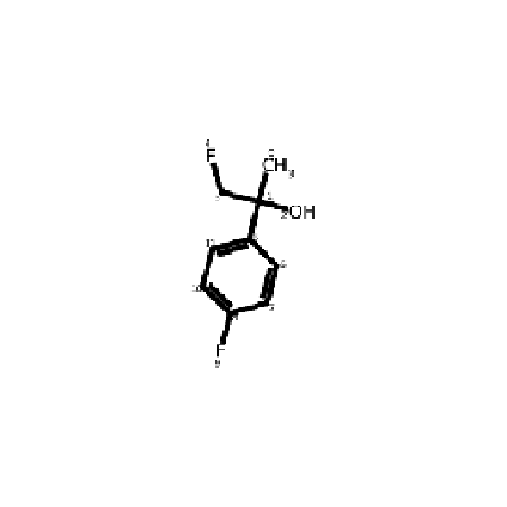 CC(O)(CF)c1ccc(F)cc1